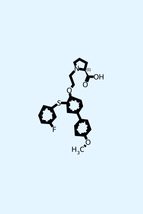 COc1ccc(-c2ccc(OCCN3CCC[C@H]3C(=O)O)c(Sc3cccc(F)c3)c2)cc1